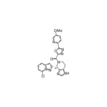 COc1ccc(-c2nnc(C(=O)N3CCc4[nH]cnc4[C@@H]3c3cc4cccc(Cl)n4n3)o2)nc1